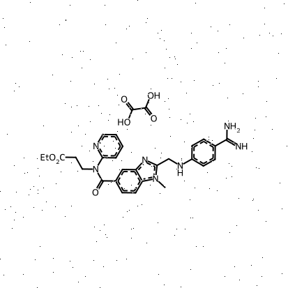 CCOC(=O)CCN(C(=O)c1ccc2c(c1)nc(CNc1ccc(C(=N)N)cc1)n2C)c1ccccn1.O=C(O)C(=O)O